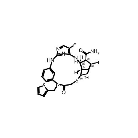 NC(=O)[C@H]1[C@H]2C[C@H]3[C@H]1Nc1nc(ncc1F)Nc1cccc(c1)N(Cc1cccs1)C(=O)CS[C@@H]3C2